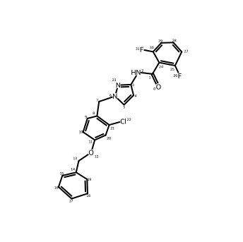 O=C(Nc1ccn(Cc2ccc(OCc3ccccc3)cc2Cl)n1)c1c(F)cccc1F